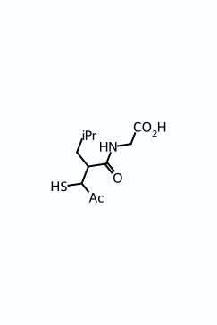 CC(=O)C(S)C(CC(C)C)C(=O)NCC(=O)O